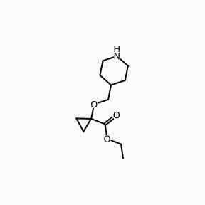 CCOC(=O)C1(OCC2CCNCC2)CC1